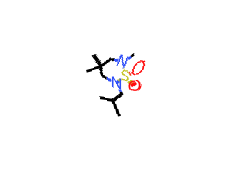 CC(C)CN1CC(C)(C)CN(C)S1(=O)=O